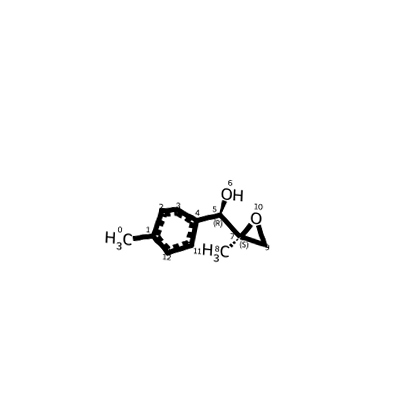 Cc1ccc([C@@H](O)[C@]2(C)CO2)cc1